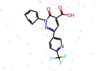 O=C(O)c1cc(-c2ccc(C(F)(F)F)nc2)nn(-c2ccccc2)c1=O